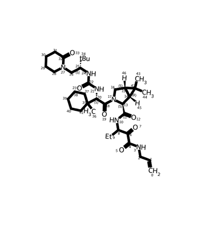 C=CCNC(=O)C(=O)C(CC)NC(=O)[C@@H]1[C@@H]2[C@H](CN1C(=O)[C@@H](NC(=O)N[C@H](CN1CCCCC1=O)C(C)(C)C)C1(C)CCCCC1)C2(C)C